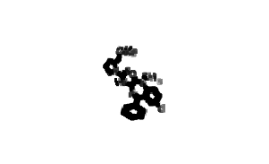 COCC1CCCN1C(=S)NC1N=C(c2ccccc2)c2cc(Cl)ccc2N(C)C1=O